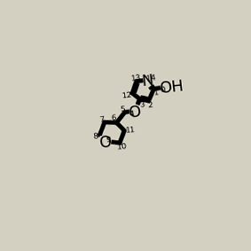 Oc1cc(OCC2CCOCC2)ccn1